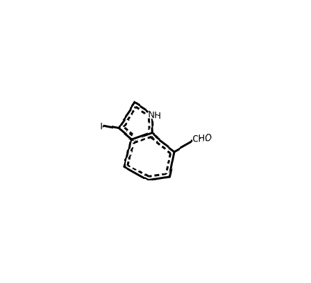 O=Cc1cccc2c(I)c[nH]c12